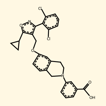 O=C(O)c1cccc(N2CCc3cc(OCc4c(-c5c(Cl)cccc5Cl)noc4C4CC4)ccc3C2)c1